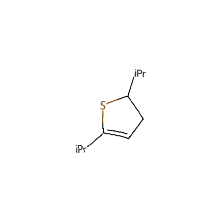 CC(C)C1=CCC(C(C)C)S1